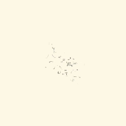 C[C@H]1c2c(N=[N+]=N)ccc(O)c2C(=O)C2=C(O)[C@]3(O)C(=O)C(C(N)=O)=C(O)[C@@H](N(C)C)[C@@H]3[C@@H](O)[C@@H]21